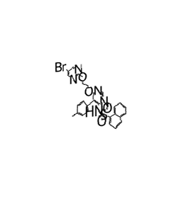 Cc1ccc(-c2c(NS(=O)(=O)c3cccc4ccccc34)ncnc2OCCOc2ncc(Br)cn2)cc1